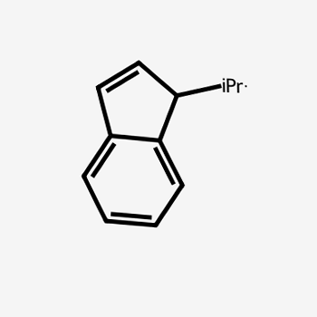 C[C](C)C1C=Cc2ccccc21